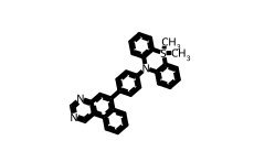 CS1(C)c2ccccc2N(c2ccc(-c3cc4ncncc4c4ccccc34)cc2)c2ccccc21